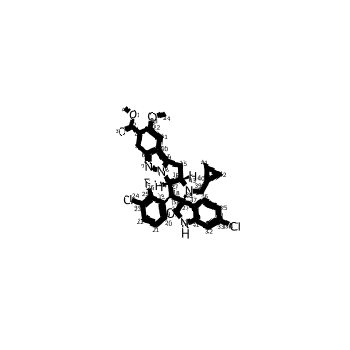 COC(=O)c1cc2nn3c(c2cc1OC)C[C@H]1[C@@H]3[C@H](c2cccc(Cl)c2F)[C@]2(C(=O)Nc3cc(Cl)ccc32)N1CC1CC1